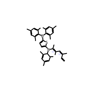 C=C/C(C)=C\C(C)=C(/C)B(c1ccc(B(c2c(C)cc(C)cc2C)c2c(C)cc(C)cc2C)s1)C1C(C)=CC(C)=CC1C